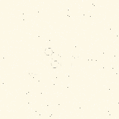 CC[C@@H]1C[C@H](N(Cc2cc(Cl)cc(C(F)(F)F)c2)c2ncc(OCCOC)cn2)C[C@H](CC)N1C(=O)OC(C)C